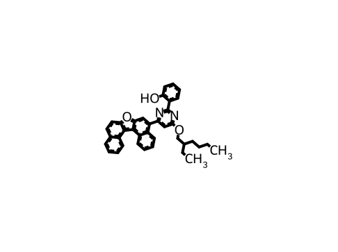 CCCCC(CC)COc1cc(-c2cc3oc4ccc5ccccc5c4c3c3ccccc23)nc(-c2ccccc2O)n1